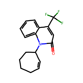 O=c1cc(C(F)(F)F)c2ccccc2n1C1C=CCCCC1